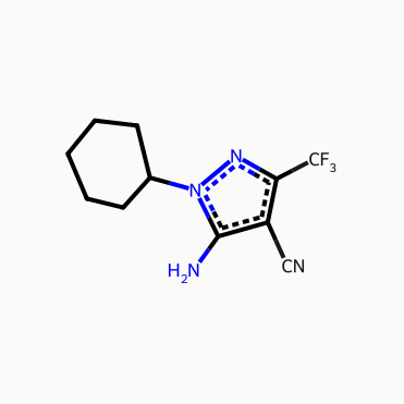 N#Cc1c(C(F)(F)F)nn(C2CCCCC2)c1N